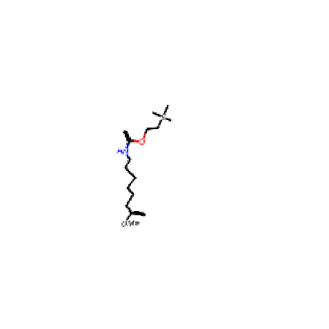 C=C(CCCCCCNC(=C)OCC[Si](C)(C)C)OC